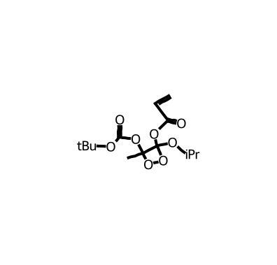 C=CC(=O)OC1(OC(C)C)OOC1(C)OC(=O)OC(C)(C)C